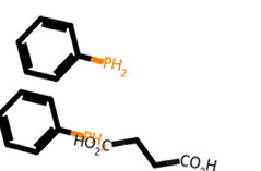 O=C(O)CCC(=O)O.Pc1ccccc1.Pc1ccccc1